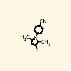 Cc1cc(I)c(C)n1-c1ccc(C#N)cc1